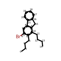 CCCCc1c(Br)cc2c(c1CCCC)[CH]c1ccccc1-2